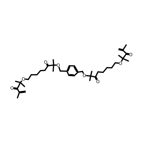 C=C(C)C(=O)C(C)(C)OCCCCCC(=O)C(C)(C)OCc1ccc(COC(C)(C)C(=O)CCCCCOC(C)(C)C(=O)C(=C)C)cc1